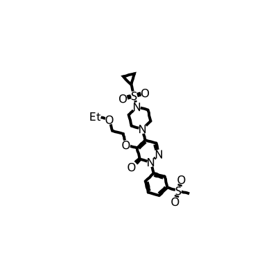 CCOCCOc1c(N2CCN(S(=O)(=O)C3CC3)CC2)cnn(-c2cccc(S(C)(=O)=O)c2)c1=O